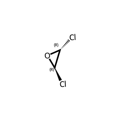 Cl[C@H]1O[C@@H]1Cl